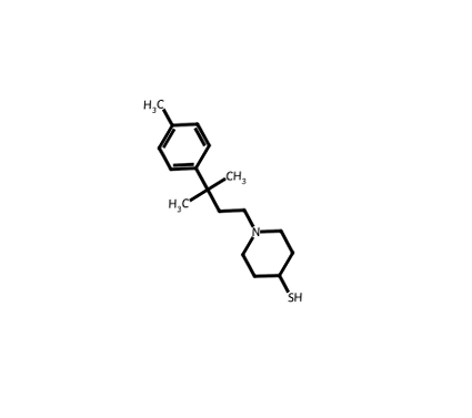 Cc1ccc(C(C)(C)CCN2CCC(S)CC2)cc1